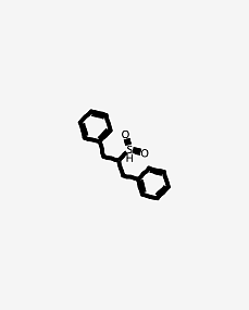 O=[SH](=O)C(Cc1ccccc1)Cc1ccccc1